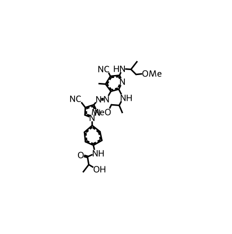 COCC(C)Nc1nc(NC(C)COC)c(N=Nc2nn(-c3ccc(NC(=O)C(C)O)cc3)cc2C#N)c(C)c1C#N